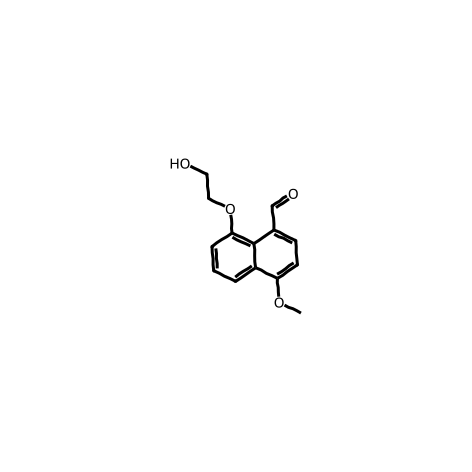 COc1ccc(C=O)c2c(OCCO)cccc12